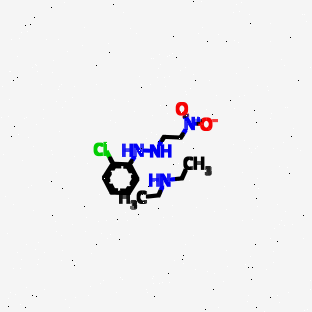 CCNCC.O=[N+]([O-])CCNNc1ccccc1Cl